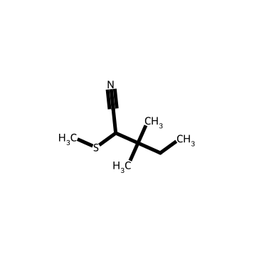 CCC(C)(C)C(C#N)SC